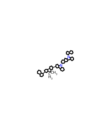 CC1(C)c2cc(-c3ccc4c(c3)c3ccccc3n4-c3ccc4cc5c(cc4c3)c3ccccc3n5-c3cccc4ccccc34)ccc2-c2ccc(-c3cccc4ccccc34)cc21